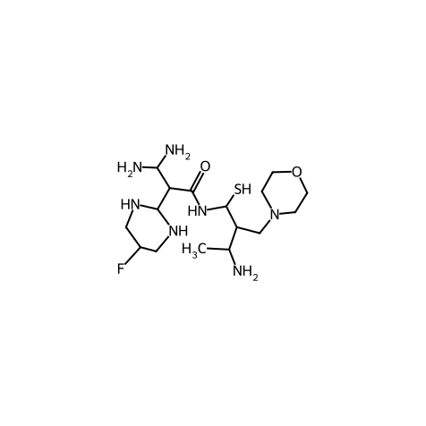 CC(N)C(CN1CCOCC1)C(S)NC(=O)C(C(N)N)C1NCC(F)CN1